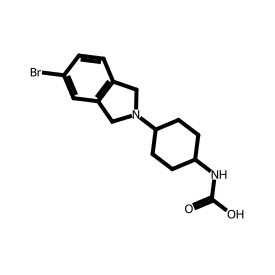 O=C(O)NC1CCC(N2Cc3ccc(Br)cc3C2)CC1